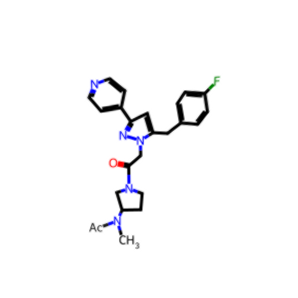 CC(=O)N(C)C1CCN(C(=O)Cn2nc(-c3ccncc3)cc2Cc2ccc(F)cc2)C1